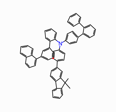 CC1(C)c2ccccc2-c2ccc(-c3ccc(N(c4ccc(-c5ccccc5-c5ccccc5)cc4)c4ccccc4-c4cccc(-c5cccc6ccccc56)c4)cc3)cc21